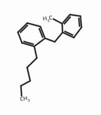 CCCCCc1ccccc1Cc1ccccc1C